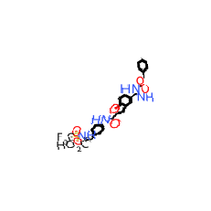 N=C(NC(=O)OCc1ccccc1)c1ccc2oc(C(=O)Nc3ccc(C[C@H](NS(=O)(=O)C(F)(F)F)C(=O)O)cc3)cc2c1